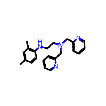 Cc1ccc(NCCN(Cc2ccccn2)Cc2ccccn2)c(C)c1